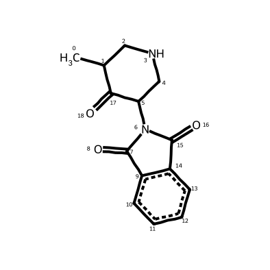 CC1CNCC(N2C(=O)c3ccccc3C2=O)C1=O